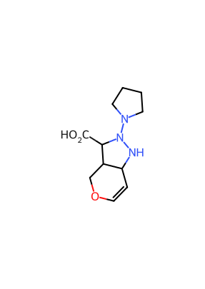 O=C(O)C1C2COC=CC2NN1N1CCCC1